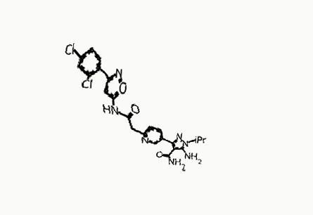 CC(C)n1nc(-c2ccc(CC(=O)Nc3cc(-c4ccc(Cl)cc4Cl)no3)nc2)c(C(N)=O)c1N